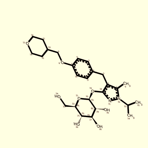 Cc1c(Cc2ccc(OCC3CCOCC3)cc2)c(O[C@@H]2O[C@H](CO)[C@@H](O)[C@H](O)[C@H]2O)nn1C(C)C